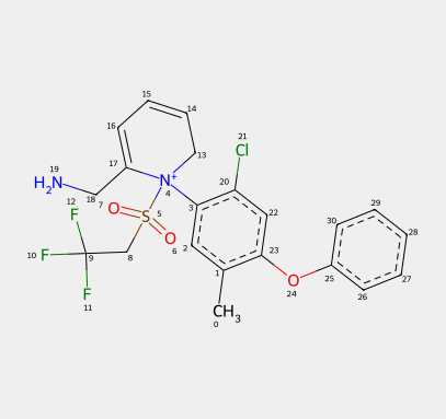 Cc1cc([N+]2(S(=O)(=O)CC(F)(F)F)CC=CC=C2CN)c(Cl)cc1Oc1ccccc1